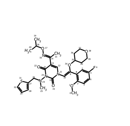 COc1ccc(F)cc1/C(=C/n1cc(/C(C)=N/OC(C)C)c(=O)n(N(C)Cc2cccs2)c1=O)OC1CCOCC1